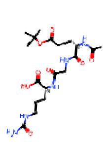 CC(=O)N[C@@H](CCC(=O)OC(C)(C)C)C(=O)NCC(=O)N[C@@H](CCCNC(N)=O)C(=O)O